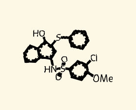 COc1ccc(S(=O)(=O)Nc2cc(Sc3ccccc3)c(O)c3ccccc23)cc1Cl